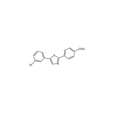 O=Cc1ccc(-c2ncc(-c3cccc(Cl)c3)s2)cc1